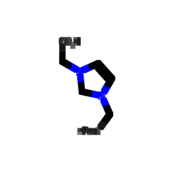 CCCCCCN1C=CN(CC(=O)O)C1